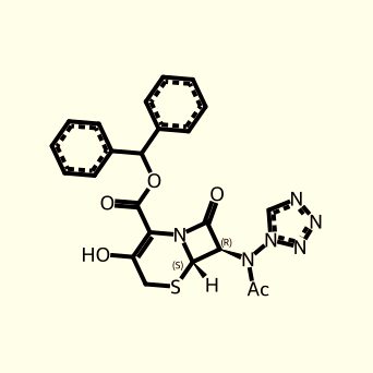 CC(=O)N([C@@H]1C(=O)N2C(C(=O)OC(c3ccccc3)c3ccccc3)=C(O)CS[C@@H]12)n1cnnn1